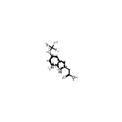 O=C(O)Cc1cc2cc(OC(F)(F)F)ccc2[nH]1.[LiH]